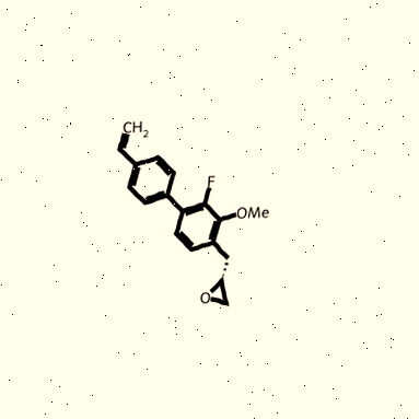 C=Cc1ccc(-c2ccc(C[C@@H]3CO3)c(OC)c2F)cc1